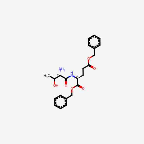 CC(O)[C@H](N)C(=O)N[C@@H](CCC(=O)OCc1ccccc1)C(=O)OCc1ccccc1